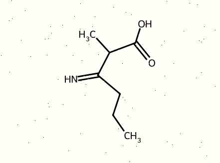 CCCC(=N)C(C)C(=O)O